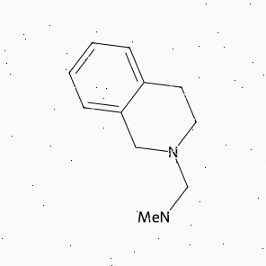 CNCN1CCc2ccccc2C1